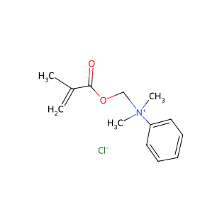 C=C(C)C(=O)OC[N+](C)(C)c1ccccc1.[Cl-]